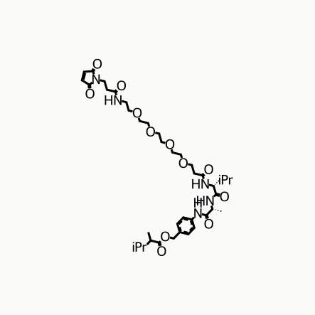 CC(C)C(C)C(=O)OCc1ccc(NC(=O)[C@@H](C)NC(=O)[C@H](NC(=O)CCOCCOCCOCCOCCNC(=O)CCN2C(=O)C=CC2=O)C(C)C)cc1